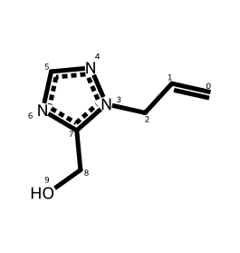 C=CCn1ncnc1CO